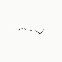 NCSSCN